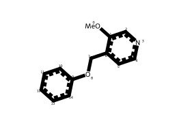 COc1cnccc1COc1[c]cccc1